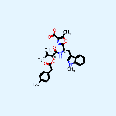 Cc1ccc(CC(=O)O[C@H](C(=O)N[C@H](Cc2cn(C)c3ccccc23)c2nc(C(=O)O)c(C)o2)C(C)C)cc1